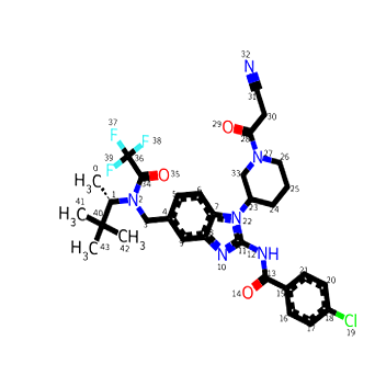 C[C@H](N(Cc1ccc2c(c1)nc(NC(=O)c1ccc(Cl)cc1)n2C1CCCN(C(=O)CC#N)C1)C(=O)C(F)(F)F)C(C)(C)C